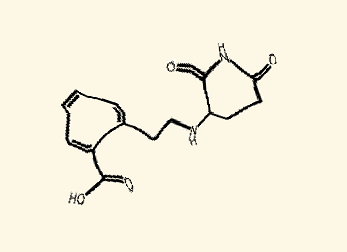 O=C1CCC(NCCc2ccccc2C(=O)O)C(=O)N1